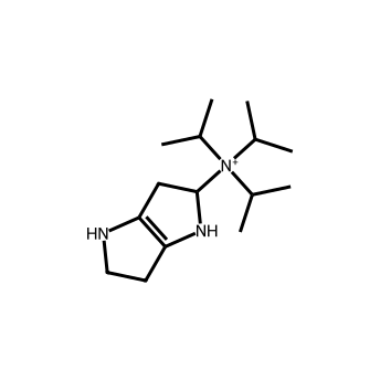 CC(C)[N+](C(C)C)(C(C)C)C1CC2=C(CCN2)N1